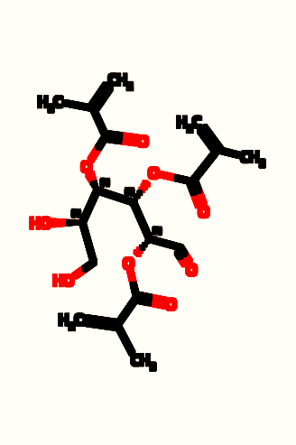 C=C(C)C(=O)O[C@@H]([C@H](OC(=O)C(=C)C)[C@H](C=O)OC(=O)C(=C)C)[C@H](O)CO